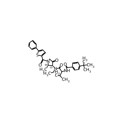 CCN(C(=O)C(NC(=O)c1ccc(C(C)(C)C)cc1)C(C)C)[C@@H]1C(=O)CN(C(=O)c2ccc(-c3ccccc3)s2)[C@@H]1C